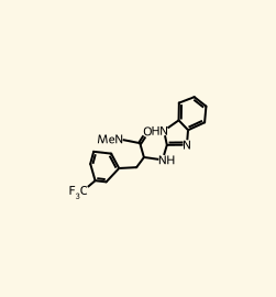 CNC(=O)C(Cc1cccc(C(F)(F)F)c1)Nc1nc2ccccc2[nH]1